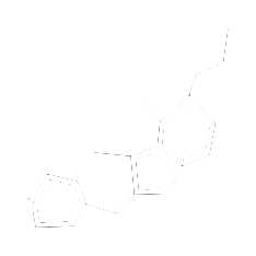 CCCc1ccc2oc(Cc3ccncc3)c(C)c2c1O